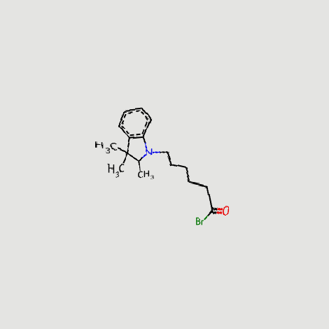 CC1N(CCCCCC(=O)Br)c2ccccc2C1(C)C